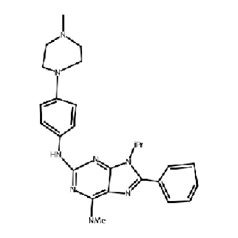 CNc1nc(Nc2ccc(N3CCN(C)CC3)cc2)nc2c1nc(-c1ccccc1)n2C(C)C